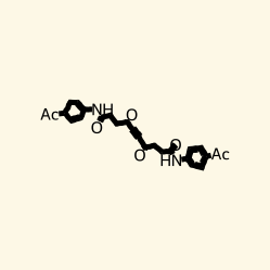 CC(=O)c1ccc(NC(=O)CCC(=O)C#CC(=O)CCC(=O)NC2=CCC(C(C)=O)C=C2)cc1